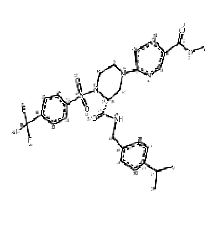 COC(=O)c1cnc(N2CCN(S(=O)(=O)c3ccc(C(F)(F)F)cc3)[C@@H](C(=O)NCc3ccc(C(C)C)cc3)C2)cn1